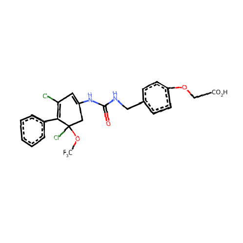 O=C(O)COc1ccc(CNC(=O)NC2=CC(Cl)=C(c3ccccc3)C(Cl)(OC(F)(F)F)C2)cc1